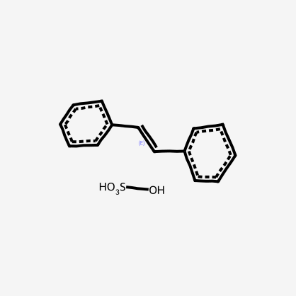 C(=C\c1ccccc1)/c1ccccc1.O=S(=O)(O)O